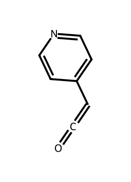 O=C=Cc1ccncc1